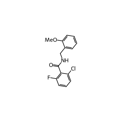 COc1ccccc1CNC(=O)c1c(F)cccc1Cl